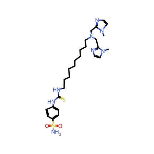 Cn1ccnc1CN(CCCCCCCCCCNC(=S)Nc1ccc(S(N)(=O)=O)cc1)Cc1nccn1C